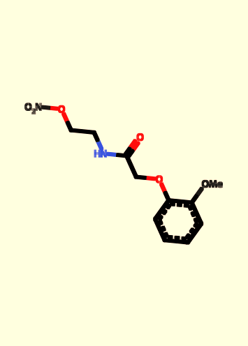 COc1ccccc1OCC(=O)NCCO[N+](=O)[O-]